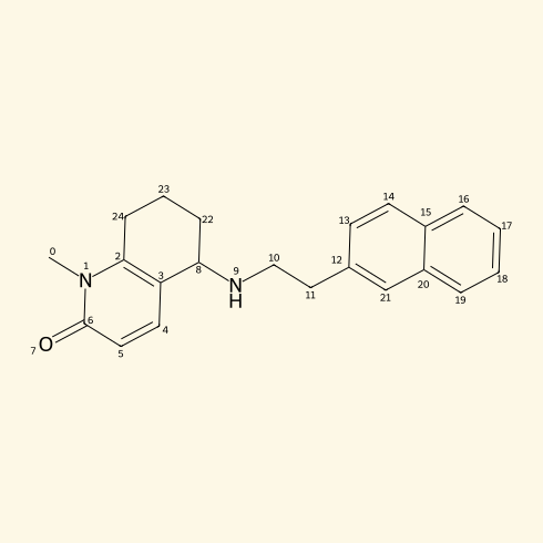 Cn1c2c(ccc1=O)C(NCCc1ccc3ccccc3c1)CCC2